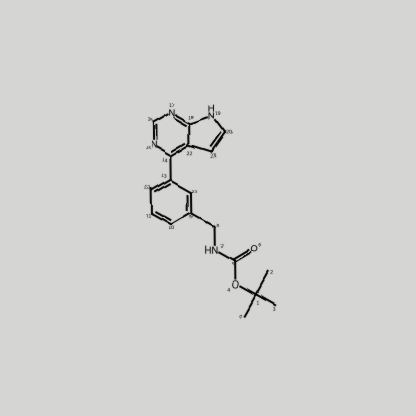 CC(C)(C)OC(=O)NCc1cccc(-c2ncnc3[nH]ccc23)c1